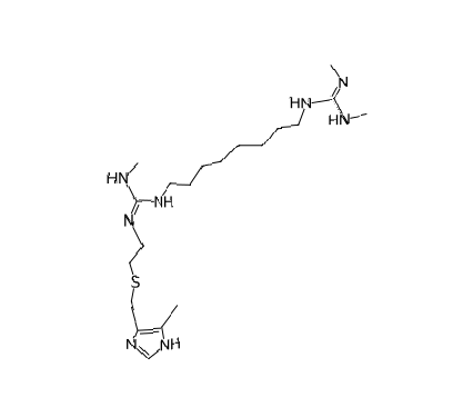 C/N=C(/NC)NCCCCCCCCN/C(=N\CCSCc1nc[nH]c1C)NC